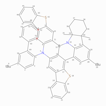 CC(C)(C)c1ccc(N2c3cc4c(cc3B3c5c2cc2c(sc6ccccc62)c5-c2cc(C(C)(C)C)cc5c2N3C2(C)CCCCC52C)sc2ccccc24)c(-c2ccccc2)c1